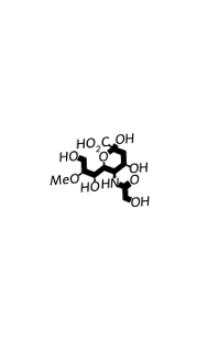 CO[C@H](CO)[C@@H](O)[C@@H]1O[C@](O)(C(=O)O)C[C@H](O)[C@H]1NC(=O)CO